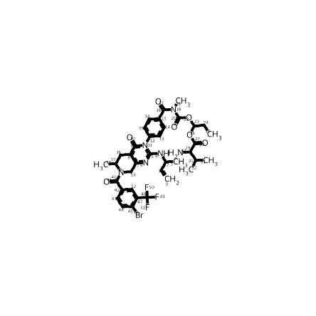 C=CC(C)Nc1nc2c(c(=O)n1-c1ccc(C(=O)N(C)C(=O)OC(CC)OC(=O)C(N)C(C)C)cc1)CC(C)N(C(=O)c1ccc(Br)c(C(F)(F)F)c1)C2